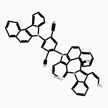 C=Cc1c(/C=C\C)c2ccccc2n1C(=C)c1c(/C=C\C)n(-c2cc(C#N)c(-n3c4ccccc4c4c5ccccc5ccc43)cc2C#N)c2ccc3ccccc3c12